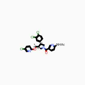 CC(=O)Nc1ccc(C(=O)N2C[C@@H]([C@@H](C)Oc3ccc(Cl)cn3)[C@H](c3ccc(Cl)c(Cl)c3)C2)cn1